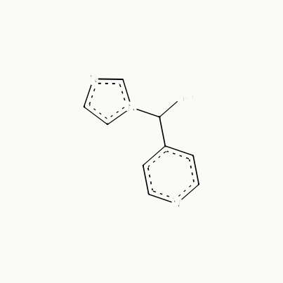 CCCC(c1ccncc1)n1ccnc1